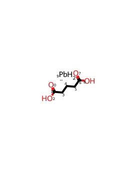 O=C(O)CCCC(=O)O.[PbH2]